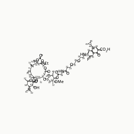 CC[C@H]1OC(=O)[C@H](C)[C@@H](OC2C[C@@](C)(OC)[C@@H](OC(=O)CNC(=O)CCOCCOCCNc3cc4c(cc3F)c(=O)c(C(=O)O)cn4C3CC3)[C@H](C)O2)[C@H](C)[C@@H](O[C@@H]2O[C@H](C)C[C@H](N(C)C)[C@H]2O)[C@](C)(O)C[C@@H](C)CN(C)[C@H](C)[C@@H]2OC(=O)O[C@]12C